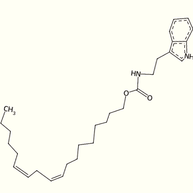 CCCCC/C=C\C/C=C\CCCCCCCCOC(=O)NCCc1c[nH]c2ccccc12